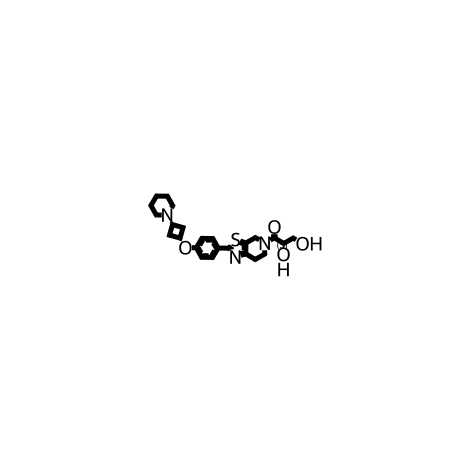 O=C([C@@H](O)CO)N1CCc2nc(-c3ccc(O[C@H]4C[C@H](N5CCCCC5)C4)cc3)sc2C1